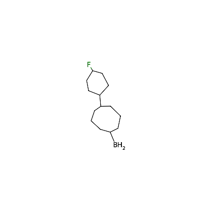 BC1CCCC(C2CCC(F)CC2)CCC1